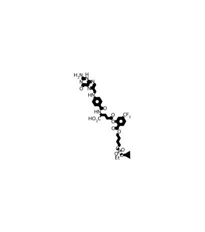 CCOP(=O)(OCCCCOC(=O)c1ccc(C(F)(F)F)cc1OC(=O)CC[C@H](NC(=O)c1ccc(NCc2cnc3[nH]c(N)nc(=O)c3n2)cc1)C(=O)O)OC1CC1